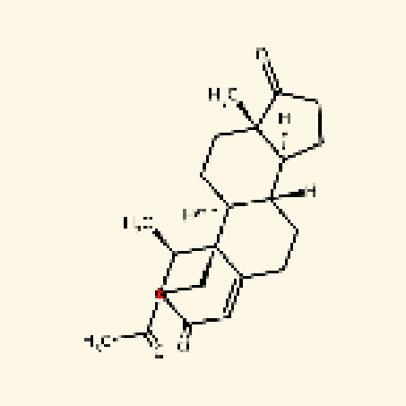 CC(=O)OC[C@@]12C(=CC(=O)C[C@H]1C)CC[C@@H]1[C@@H]2CC[C@]2(C)C(=O)CC[C@@H]12